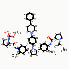 CC(C)(C)OC(=O)N1CCC[C@H]1C(=O)Nc1ccc([C@H]2CC[C@H](c3ccc(NC(=O)[C@@H]4CCCN4C(O)OC(C)(C)C)c([N+](=O)[O-])c3)N2c2ccc(N3CCC(c4ccccc4)CC3)cc2)cc1[N+](=O)[O-]